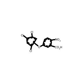 O=C(O)c1cc(Oc2cc(Cl)c(Cl)cc2Cl)ccc1[N+](=O)[O-]